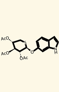 CC(=O)O[C@@H]1[C@@H](OC(C)=O)[C@H](OC(C)=O)CS[C@H]1Oc1ccc2cc[nH]c2c1